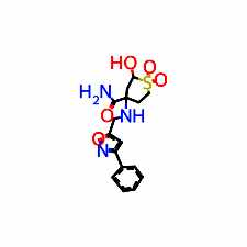 NC(=O)C1(NCc2cc(-c3ccccc3)no2)CCS(=O)(=O)C(O)C1